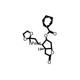 CCCCCC1(CC[C@H]2C(OC(=O)c3ccccc3)CC3OC(=O)C[C@@H]32)OCCO1